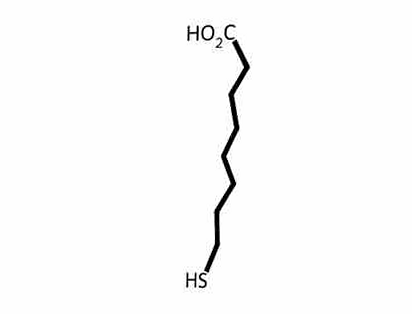 O=C(O)CCCCCCCS